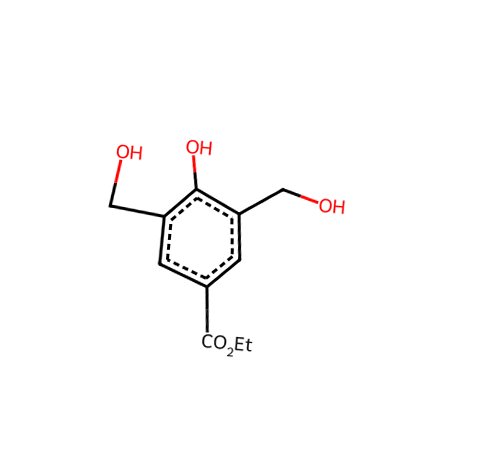 CCOC(=O)c1cc(CO)c(O)c(CO)c1